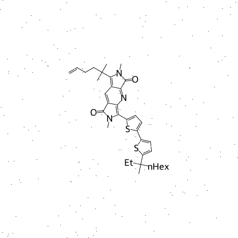 C=CCCC(C)(C)C1=c2cc3c(nc2C(=O)N1C)=C(c1ccc(-c2ccc(C(C)(CC)CCCCCC)s2)s1)N(C)C3=O